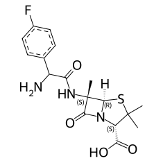 CC1(C)S[C@H]2N(C(=O)[C@]2(C)NC(=O)C(N)c2ccc(F)cc2)[C@H]1C(=O)O